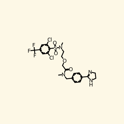 CN(Cc1ccc(C2=NCCN2)cc1)C(=O)COCCN(C)S(=O)(=O)c1c(Cl)cc(C(F)(F)F)cc1Cl